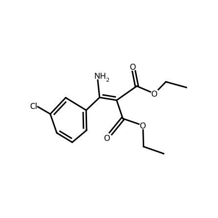 CCOC(=O)C(C(=O)OCC)=C(N)c1cccc(Cl)c1